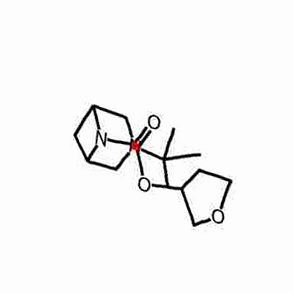 CC(C)(C)N1CC2CC(C1)N2C(=O)OC1CCOC1